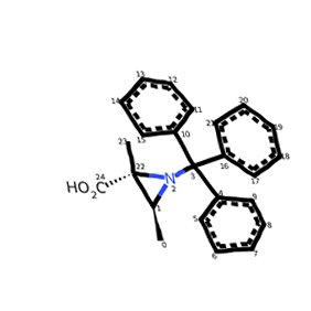 C[C@@H]1N(C(c2ccccc2)(c2ccccc2)c2ccccc2)[C@@]1(C)C(=O)O